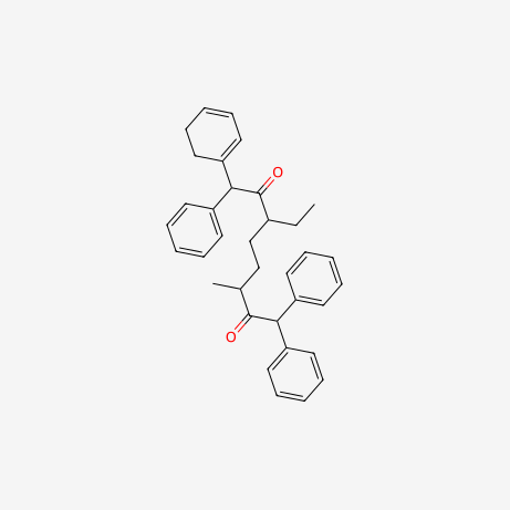 CCC(CCC(C)C(=O)C(c1ccccc1)c1ccccc1)C(=O)C(C1=CC=CCC1)c1ccccc1